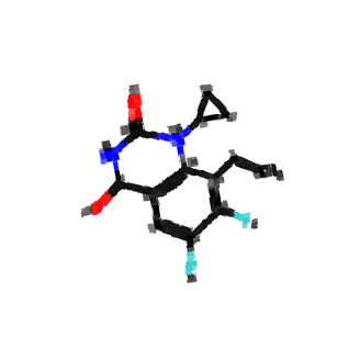 C=Cc1c(F)c(F)cc2c(=O)[nH]c(=O)n(C3CC3)c12